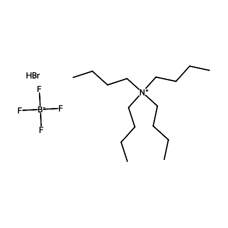 Br.CCCC[N+](CCCC)(CCCC)CCCC.F[B-](F)(F)F